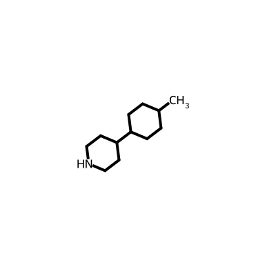 CC1CCC(C2CCNCC2)CC1